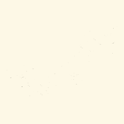 CC[C@H](C)C(NC(=O)OC)C(=O)N1CCC[C@H]1c1nc2ccc(-c3ccc(-c4ccc(-c5cnc(C6CCCN6C(=O)[C@@H](NC(=O)OC)C(C)C)[nH]5)cc4)c4c3C3CCC4C3)cc2[nH]1